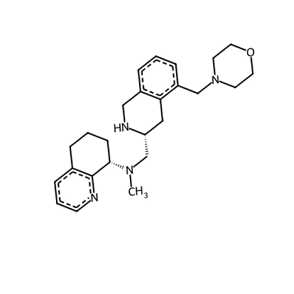 CN(C[C@H]1Cc2c(cccc2CN2CCOCC2)CN1)[C@H]1CCCc2cccnc21